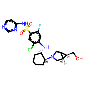 O=S(=O)(Nc1ccncn1)c1cc(Cl)c(N[C@H]2CCCC[C@@H]2N2CC3[C@@H](CO)[C@H]3C2)cc1F